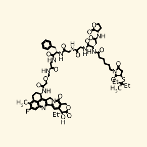 CCC(C)(CC)SC1CC(=O)N(CCCCCC(=O)N[C@@H](CC(=O)N[C@H]2CCOC2=O)C(=O)NCC(=O)NCC(=O)N[C@@H](Cc2ccccc2)C(=O)NCC(=O)NCOCC(=O)N[C@H]2CCc3c(C)c(F)cc4nc5c(c2c34)Cn2c-5cc3c(c2=O)COC(=O)[C@]3(O)CC)C1=O